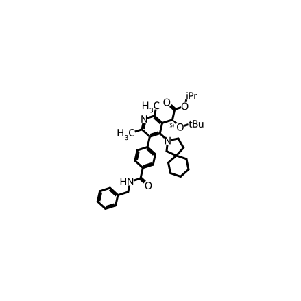 Cc1nc(C)c([C@H](OC(C)(C)C)C(=O)OC(C)C)c(N2CCC3(CCCCC3)C2)c1-c1ccc(C(=O)NCc2ccccc2)cc1